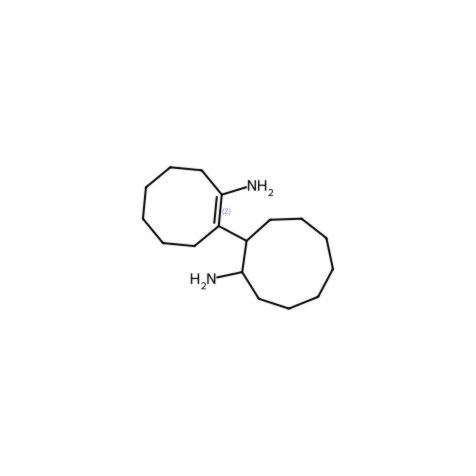 N/C1=C(\C2CCCCCCCC2N)CCCCCC1